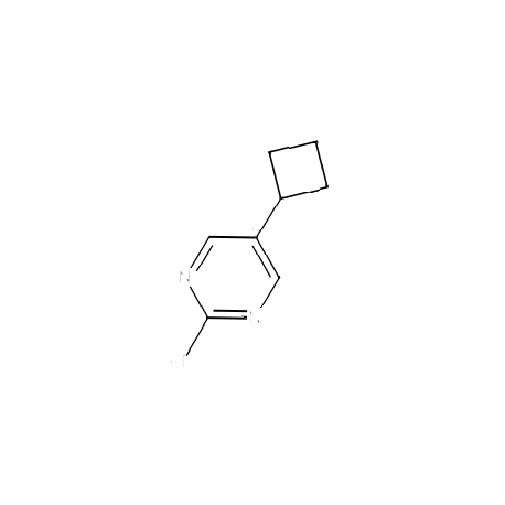 Clc1ncc(C2CCC2)cn1